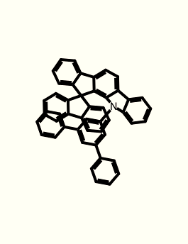 c1ccc(-c2cc(-c3ccccc3)cc(-n3c4ccccc4c4ccc5c(c43)C3(c4ccccc4-c4ccccc43)c3ccccc3-5)c2)cc1